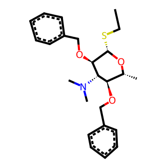 CCS[C@@H]1O[C@H](C)[C@@H](OCc2ccccc2)[C@H](N(C)C)[C@H]1OCc1ccccc1